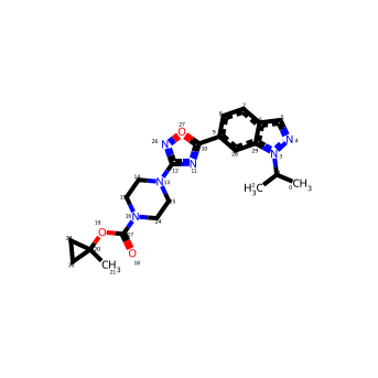 CC(C)n1ncc2ccc(-c3nc(N4CCN(C(=O)OC5(C)CC5)CC4)no3)cc21